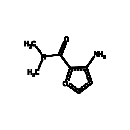 CN(C)C(=O)c1occc1N